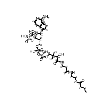 CCCC(=O)SCCNC(=O)CCNC(=O)C(O)C(C)(C)COP(=O)(O)OP(=O)(O)OC[C@H]1O[C@@H](n2cnc3c(N)ncnc32)[C@H](O)[C@H]1OP(=O)(O)O